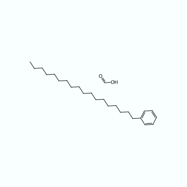 CCCCCCCCCCCCCCCCCCc1ccccc1.O=CO